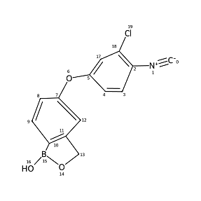 [C-]#[N+]c1ccc(Oc2ccc3c(c2)COB3O)cc1Cl